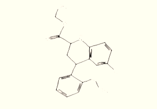 CCOC(=O)C1CC(c2ccccc2OC)c2cc(Cl)ccc2N1